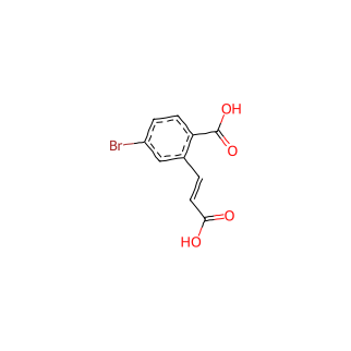 O=C(O)C=Cc1cc(Br)ccc1C(=O)O